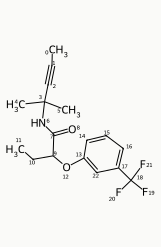 CC#CC(C)(C)NC(=O)C(CC)Oc1cccc(C(F)(F)F)c1